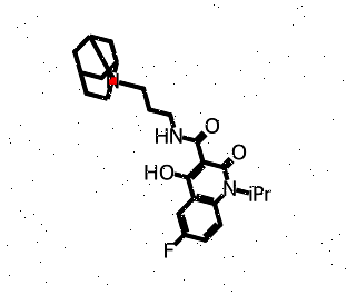 CC(C)n1c(=O)c(C(=O)NCCCN2C3CC4CC(C3)CC2C4)c(O)c2cc(F)ccc21